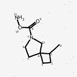 CC1CCC12CCN(C(=O)ON)C2